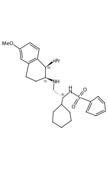 CCC[C@@H]1c2ccc(OC)cc2CC[C@@H]1NC[C@H](NS(=O)(=O)c1ccccc1)C1CCCCC1